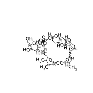 C=C1C2C[C@@H]3O[C@H]4C[C@@H](O)[C@@H](CO)O[C@H]4[C@H](C)[C@H]3OC(=O)C[C@H]3CC[C@@H]4O[C@H]5C6O[C@]7(CC[C@H]8CC(=C)[C@H](CC[C@@H](C[C@H]1C)O2)O8)CC6O[C@H]5C(O7)[C@H]4O3